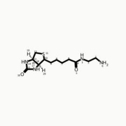 NCCNC(=O)CCCCC1SC[C@@H]2NC(=O)N[C@H]12